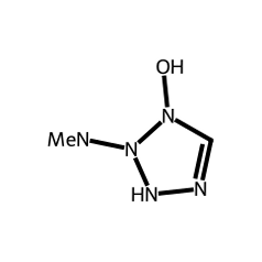 CNN1NN=CN1O